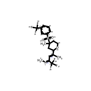 C/N=C(\C=C(/C)C1CC(C)(S(=O)(=O)c2cccc(C(F)(F)F)c2)CCO1)C(F)(F)F